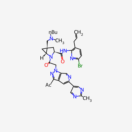 C=CCc1ccc(Br)nc1NC(=O)[C@@H]1C[C@@]2(CN(C)CCCC)C[C@H]2N1C(=O)Cn1nc(C(C)=O)c2cc(-c3cnc(C)nc3)ncc21